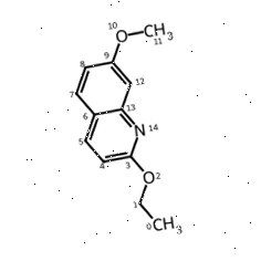 CCOc1ccc2ccc(OC)cc2n1